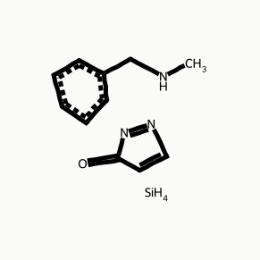 CNCc1ccccc1.O=C1C=CN=N1.[SiH4]